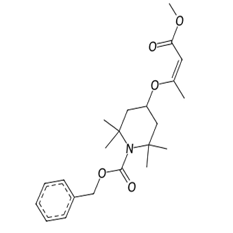 COC(=O)/C=C(/C)OC1CC(C)(C)N(C(=O)OCc2ccccc2)C(C)(C)C1